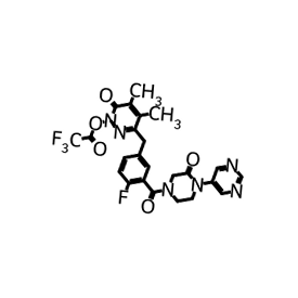 Cc1c(Cc2ccc(F)c(C(=O)N3CCN(c4cncnc4)C(=O)C3)c2)nn(OC(=O)C(F)(F)F)c(=O)c1C